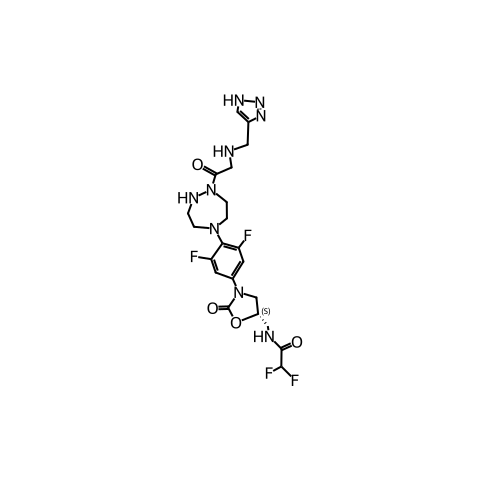 O=C(NC[C@H]1CN(c2cc(F)c(N3CCNN(C(=O)CNCc4c[nH]nn4)CC3)c(F)c2)C(=O)O1)C(F)F